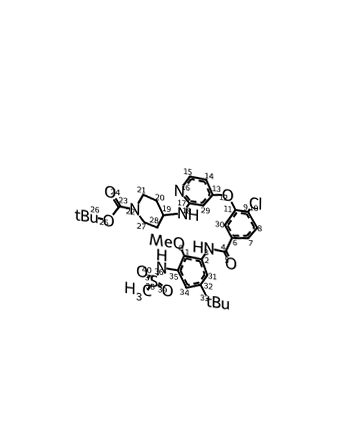 COc1c(NC(=O)c2ccc(Cl)c(Oc3ccnc(NC4CCN(C(=O)OC(C)(C)C)CC4)c3)c2)cc(C(C)(C)C)cc1NS(C)(=O)=O